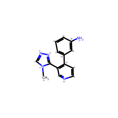 Cn1cnnc1-c1cnccc1-c1cccc(N)c1